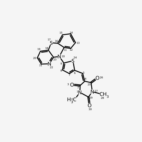 CN1C(=O)C(=Cc2ccc(N3c4ccccc4Sc4cccnc43)s2)C(=O)N(C)C1=O